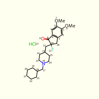 COc1cc2c(cc1OC)C(=O)C(F)(CC1CCN(CC3CCCCC3)CC1)C2.Cl